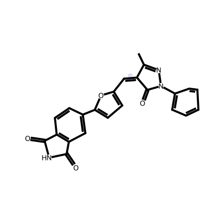 CC1=NN(c2ccccc2)C(=O)/C1=C\c1ccc(-c2ccc3c(c2)C(=O)NC3=O)o1